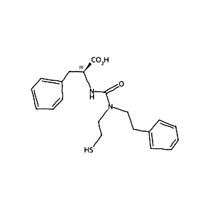 O=C(O)[C@H](Cc1ccccc1)NC(=O)N(CCS)CCc1ccccc1